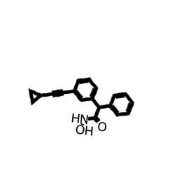 O=C(NO)C(c1ccccc1)c1cccc(C#CC2CC2)c1